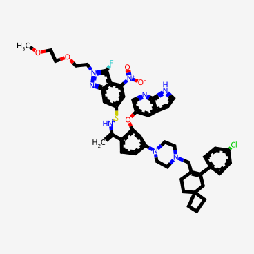 C=C(NSc1cc([N+](=O)[O-])c2c(F)n(CCOCCOC)nc2c1)c1ccc(N2CCN(CC3=C(c4ccc(Cl)cc4)CC4(CCC4)CC3)CC2)cc1Oc1cnc2[nH]ccc2c1